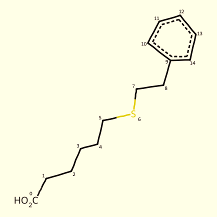 O=C(O)CCCCCSCCc1ccccc1